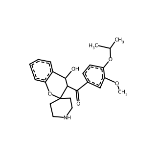 COc1cc(C(=O)C2C(O)c3ccccc3OC23CCNCC3)ccc1OC(C)C